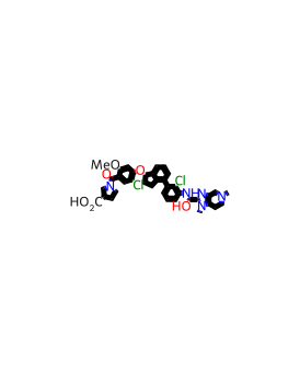 COc1cc(OC2CCc3c(-c4cccc(NC(O)c5nc6c(n5C)CCN(C)C6)c4Cl)cccc32)c(Cl)cc1C(=O)N1CCC(C(=O)O)C1